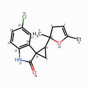 CCC1=CCC(C)(C2CC23C(=O)Nc2ccc(Cl)cc23)O1